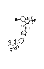 COC(=O)[C@@H](NC(=O)C1C=CC(Cn2nc(C)c(NC(=O)c3cc(C(F)(F)F)nc4ccc(Br)cc34)c2C)=CC1)C(C)=O